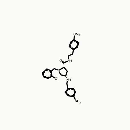 COc1ccc(CCNC(=O)[C@@H]2C[C@H](NCc3ccc([N+](=O)[O-])cc3)CN2Cc2ccccc2Cl)cc1